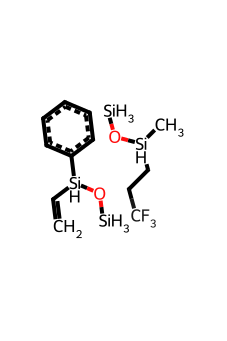 C=C[SiH](O[SiH3])c1ccccc1.C[SiH](CCC(F)(F)F)O[SiH3]